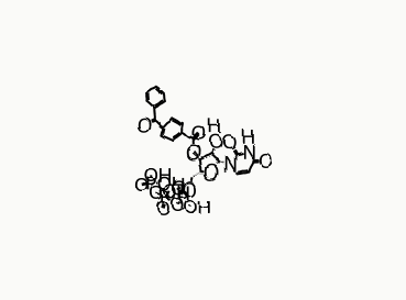 O=C(O[C@H]1[C@@H](O)[C@H](n2ccc(=O)[nH]c2=O)O[C@@H]1COP(=O)(O)OP(=O)(O)OP(=O)(O)O)c1ccc(C(=O)c2ccccc2)cc1